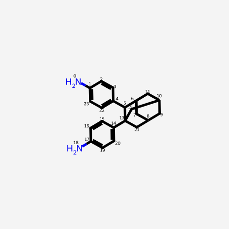 Nc1ccc(C2C3CC4CC(C3)CC2(c2ccc(N)cc2)C4)cc1